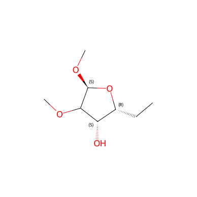 CC[C@H]1O[C@H](OC)C(OC)[C@H]1O